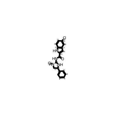 O=C(NC1NC(c2ccccc2)C[NH+]1[O-])c1cc2cc(Cl)ccc2[nH]1